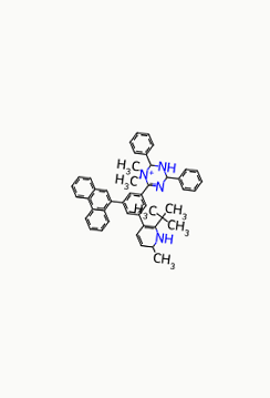 CC1C=CC(c2cc(C3=NC(c4ccccc4)NC(c4ccccc4)[N+]3(C)C)cc(-c3cc4ccccc4c4ccccc34)c2)=C(C(C)(C)C)N1